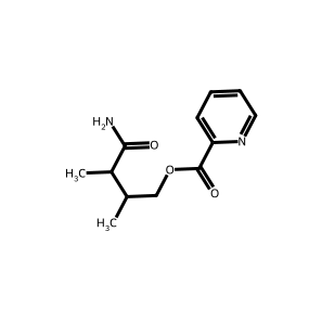 CC(COC(=O)c1ccccn1)C(C)C(N)=O